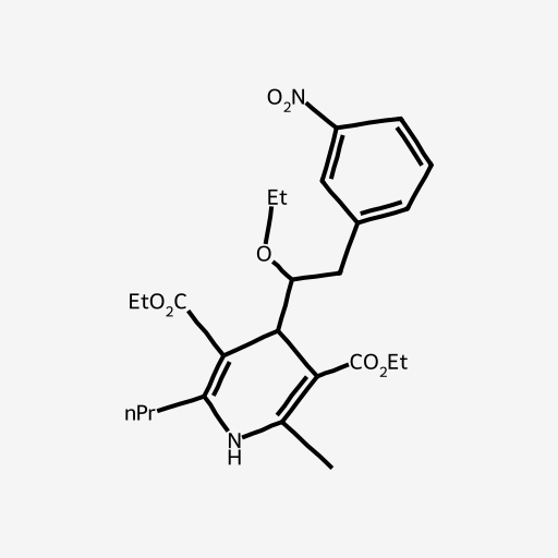 CCCC1=C(C(=O)OCC)C(C(Cc2cccc([N+](=O)[O-])c2)OCC)C(C(=O)OCC)=C(C)N1